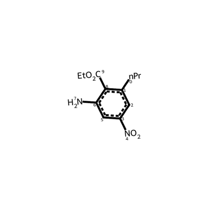 CCCc1cc([N+](=O)[O-])cc(N)c1C(=O)OCC